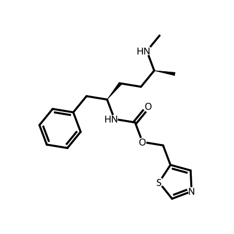 CN[C@@H](C)CC[C@H](Cc1ccccc1)NC(=O)OCc1cncs1